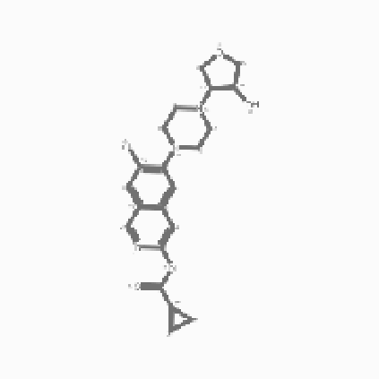 O=C(Nc1cc2cc(N3CCN(C4COCC4O)CC3)c(Cl)cc2cn1)C1CC1